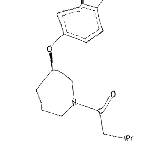 CC(C)CC(=O)N1CCC[C@@H](Oc2ccc(C(=O)O)cc2)C1